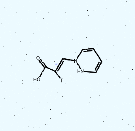 O=C(O)/C(F)=C/N1C=CC=CN1